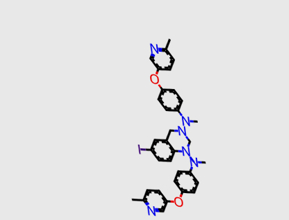 Cc1ccc(Oc2ccc(N(C)N3Cc4cc(I)ccc4N(N(C)c4ccc(Oc5ccc(C)nc5)cc4)C3)cc2)cn1